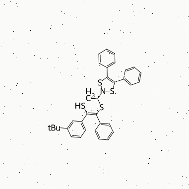 C[C@H](S/C(=C(\S)c1cccc(C(C)(C)C)c1)c1ccccc1)N1SC(c2ccccc2)=C(c2ccccc2)S1